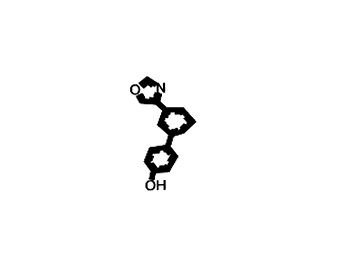 Oc1ccc(-c2cccc(-c3cocn3)c2)cc1